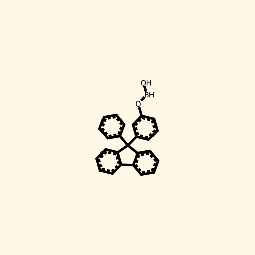 OBOc1cccc(C2(c3ccccc3)c3ccccc3-c3ccccc32)c1